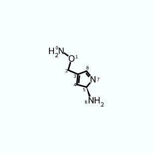 NOCC1=C[C@H](N)N=C1